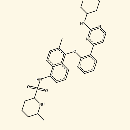 Cc1ccc2c(NS(=O)(=O)C3CCCC(C)N3)cccc2c1Oc1ncccc1-c1ccnc(NC2CCCNC2)n1